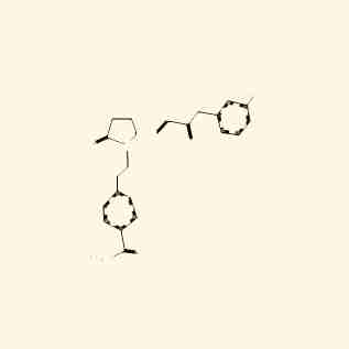 COC(=O)c1ccc(CCN2C(=O)CC[C@@H]2/C=C/C(=O)Cc2cccc(Cl)c2)cc1